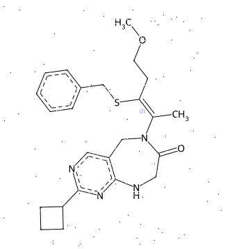 COCC/C(SCc1ccccc1)=C(\C)N1Cc2cnc(C3CCC3)nc2NCC1=O